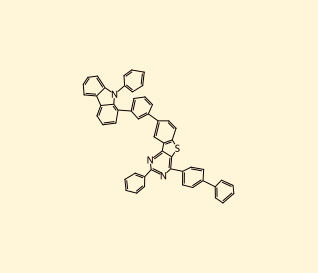 c1ccc(-c2ccc(-c3nc(-c4ccccc4)nc4c3sc3ccc(-c5cccc(-c6cccc7c8ccccc8n(-c8ccccc8)c67)c5)cc34)cc2)cc1